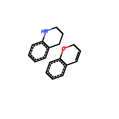 C1=Cc2ccccc2OC1.c1ccc2c(c1)CCCN2